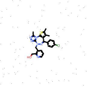 Cc1sc2c(c1C)C(c1ccc(Cl)cc1)=NN(Cc1cccnc1CO)c1nnc(C)n1-2